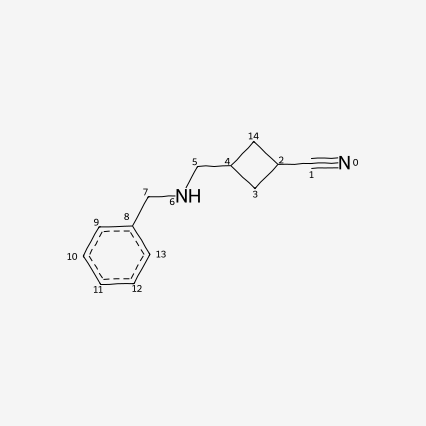 N#CC1CC(CNCc2ccccc2)C1